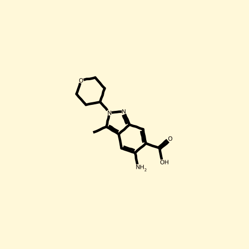 Cc1c2cc(N)c(C(=O)O)cc2nn1C1CCOCC1